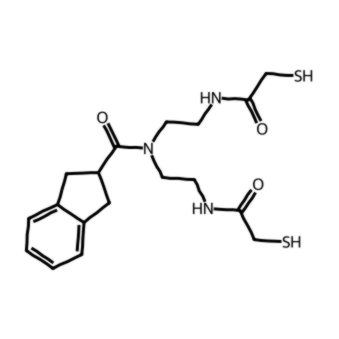 O=C(CS)NCCN(CCNC(=O)CS)C(=O)C1Cc2ccccc2C1